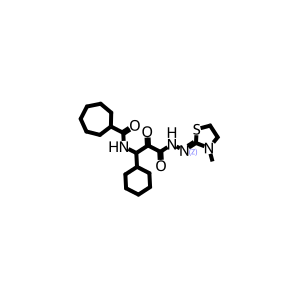 CN1CCS/C1=N\NC(=O)C(=O)C(NC(=O)C1CCCCCC1)C1CCCCC1